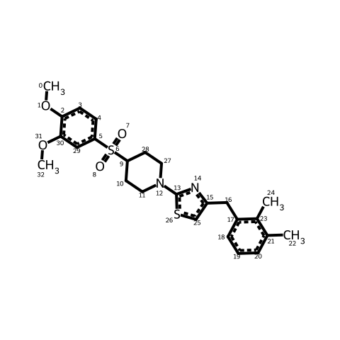 COc1ccc(S(=O)(=O)C2CCN(c3nc(Cc4cccc(C)c4C)cs3)CC2)cc1OC